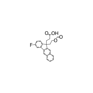 O=COCCC1(CCC(=O)O)c2ccc(F)cc2-c2cc3ccccc3cc21